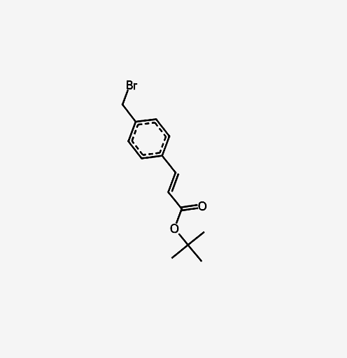 CC(C)(C)OC(=O)C=Cc1ccc(CBr)cc1